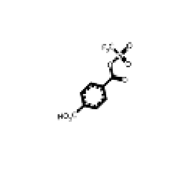 O=C(O)c1ccc(C(=O)OS(=O)(=O)C(F)(F)F)cc1